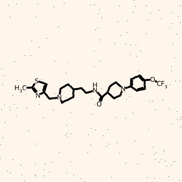 Cc1nc(CN2CCC(CCNC(=O)C3CCN(c4ccc(OC(F)(F)F)cc4)CC3)CC2)cs1